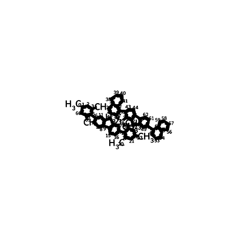 Cc1cc(C)c(-c2ccc3c(c2)Cc2c-3ccc(-c3c(C)cc(C)cc3C)[c]2[Zr]([CH3])([CH3])[c]2c(-c3cccc4ccccc34)ccc3c2Cc2cc(-c4cccc5ccccc45)ccc2-3)c(C)c1